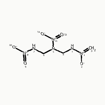 C=[N+]([O-])NCN(CN[N+](=O)[O-])[N+](=O)[O-]